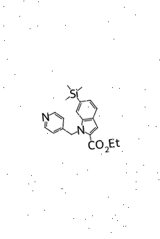 CCOC(=O)c1cc2ccc([Si](C)(C)C)cc2n1Cc1ccncc1